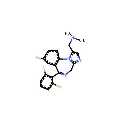 CN(C)Cc1cnc2n1-c1ccc(F)cc1C(c1c(F)cccc1F)=NC2